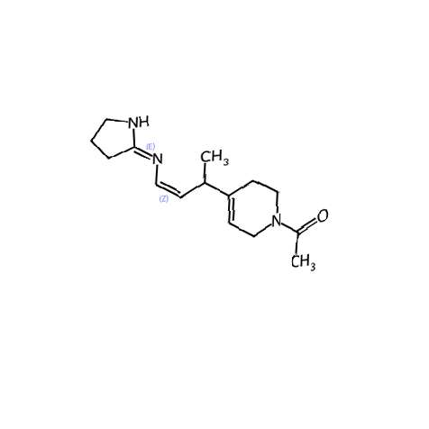 CC(=O)N1CC=C(C(C)/C=C\N=C2/CCCN2)CC1